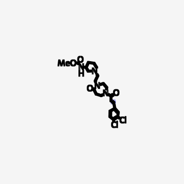 COC(=O)NC1CCCN(CCN2CCN(C(=O)/C=C/c3ccc(Cl)c(Cl)c3)CCC2=O)C1